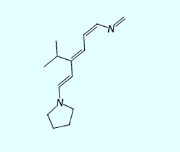 C=N\C=C/C=C(/C=C/N1CCCC1)C(C)C